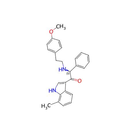 COc1ccc(CCN[C@H](C(=O)c2c[nH]c3c(C)cccc23)c2ccccc2)cc1